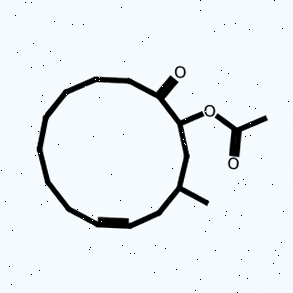 CC(=O)OC1CC(C)C/C=C\CCCCCCCC1=O